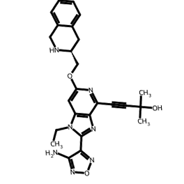 CCn1c(-c2nonc2N)nc2c(C#CC(C)(C)O)nc(OC[C@@H]3Cc4ccccc4CN3)cc21